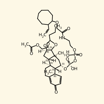 C=CC1CCCCCCC1OCC(=O)NCCOP(=O)(O)OP(=O)(O)O[C@H]1C[C@@]2(C)[C@@H](C[C@H]3OC(CCC)O[C@]32C(=O)COC(C)=O)[C@@H]2CCC3=CC(=O)C=C[C@]3(C)[C@H]21